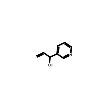 C=CC(O)c1cc[c]nc1